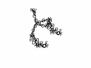 Cc1c(C(=O)C(=O)NCc2cn(CCOCCOCC(COCCOCCN=[N+]=[N-])(COCCOCCN=[N+]=[N-])COCCOCCn3cc(CNC(=O)C(=O)c4c(C)c(C(=O)Nc5ccc(F)c(F)c5)n(C)c4C)nn3)nn2)c(C)n(C)c1C(=O)Nc1ccc(F)c(F)c1